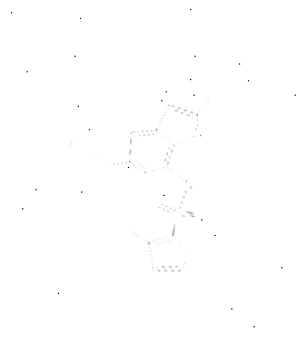 Cc1ccsc1S(=O)(=O)Nc1cc(OC(F)(F)F)cc2cc(C(=O)O)[nH]c12